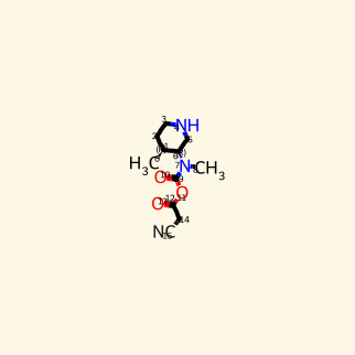 C[C@@H]1CCNC[C@@H]1N(C)C(=O)OC(=O)CC#N